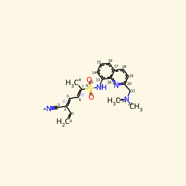 C=C/C(C#N)=C\C=C(/C)S(=O)(=O)Nc1cccc2ccc(CN(C)C)nc12